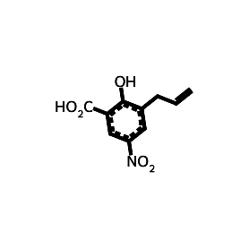 C=CCc1cc([N+](=O)[O-])cc(C(=O)O)c1O